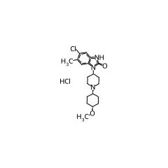 CO[C@H]1CC[C@@H](N2CCC(n3c(=O)[nH]c4cc(Cl)c(C)cc43)CC2)CC1.Cl